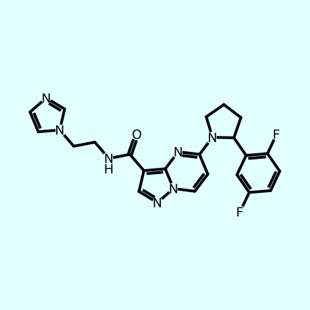 O=C(NCCn1ccnc1)c1cnn2ccc(N3CCCC3c3cc(F)ccc3F)nc12